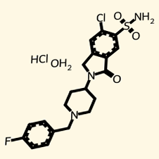 Cl.NS(=O)(=O)c1cc2c(cc1Cl)CN(C1CCN(Cc3ccc(F)cc3)CC1)C2=O.O